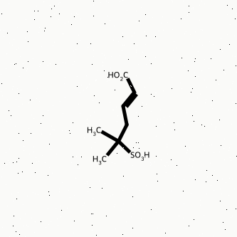 CC(C)(CC=CC(=O)O)S(=O)(=O)O